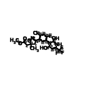 COC(=O)CC1(C)CC(c2cc(N3C(O)C=C(C(F)(F)F)NC3O)c(F)cc2Cl)=NO1